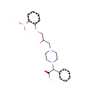 CC[S+]([O-])c1ccccc1OCC(O)CN1CCN(C(C(N)=O)c2ccccc2)CC1